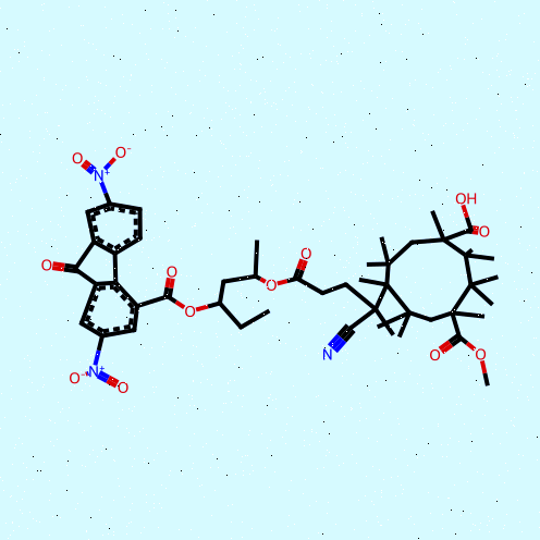 CCC(CC(C)OC(=O)CCC(C)(C#N)C1(C)C(C)(C)CC(C)(C(=O)O)C(C)(C)C(C)(C)C(C)(C(=O)OC)CC1(C)C)OC(=O)c1cc([N+](=O)[O-])cc2c1-c1ccc([N+](=O)[O-])cc1C2=O